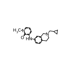 Cn1cccc(Nc2ccc3c(c2)CN(CC2CC2)CC3)c1=O